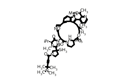 CCn1c(-c2cccnc2[C@H](C)OC)c2c3cc(ccc31)-c1cnc(o1)C[C@H](NC(=O)[C@H](C(C)C)N(C)C(=O)C1([SiH3])CCN(C(=O)C#CC(C)(C)N(C)C)C1)C(=O)N1CCC[C@@]([SiH3])(N1)C(=O)OCC(C)(C)C2